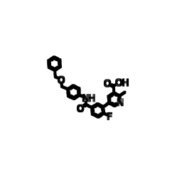 Cc1ncc(-c2cc(C(=O)Nc3ccc(COCc4ccccc4)cc3)ccc2F)cc1C(=O)O